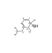 CC(C)CC1=CC=CC(C)(S)C1C